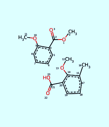 COC(=O)c1ccccc1OC.COc1c(C)cccc1C(=O)O